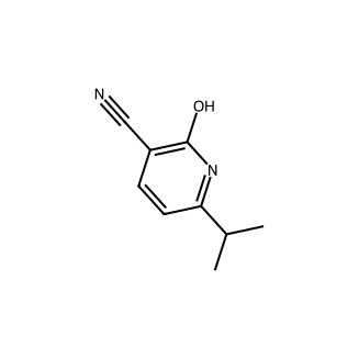 CC(C)c1ccc(C#N)c(O)n1